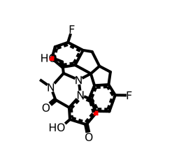 CN1C(=O)c2c(O)c(=O)ccn2N(C23c4cccc(F)c4CC2Cc2c(F)cccc23)C1CO